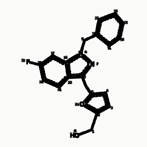 OCc1ccc(-c2nn(Cc3ccccc3)c3cc(F)ccc23)o1